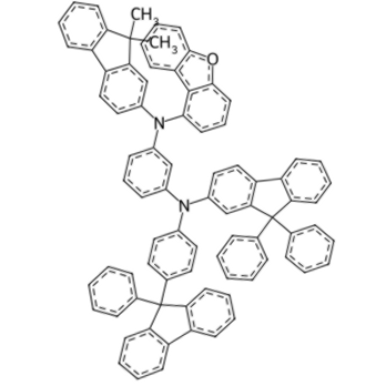 CC1(C)c2ccccc2-c2ccc(N(c3cccc(N(c4ccc(C5(c6ccccc6)c6ccccc6-c6ccccc65)cc4)c4ccc5c(c4)C(c4ccccc4)(c4ccccc4)c4ccccc4-5)c3)c3cccc4oc5ccccc5c34)cc21